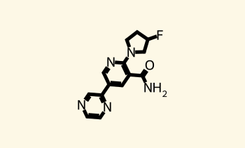 NC(=O)c1cc(-c2cnccn2)cnc1N1CCC(F)C1